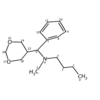 CCCCN(C)C(c1ccccc1)C1COCOC1